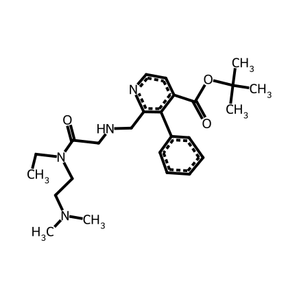 CCN(CCN(C)C)C(=O)CNCc1nccc(C(=O)OC(C)(C)C)c1-c1ccccc1